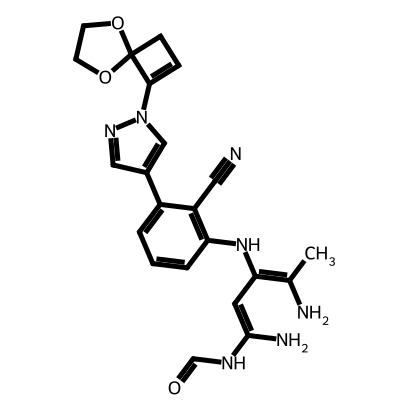 C/C(N)=C(/C=C(\N)NC=O)Nc1cccc(-c2cnn(C3=CCC34OCCO4)c2)c1C#N